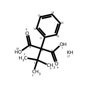 CC(C)(C)C(C(=O)O)(C(=O)O)c1ccccc1.[KH]